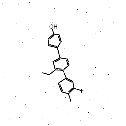 CCc1cc(-c2ccc(O)cc2)ccc1-c1ccc(C)c(F)c1